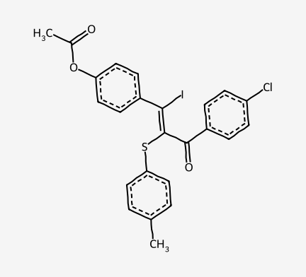 CC(=O)Oc1ccc(C(I)=C(Sc2ccc(C)cc2)C(=O)c2ccc(Cl)cc2)cc1